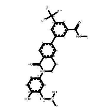 CNC(=O)c1cc(-c2ccc3c(c2)CCN(c2ccc(O)c(N[S+](C)[O-])c2)C3=O)cc(C(F)(F)F)c1